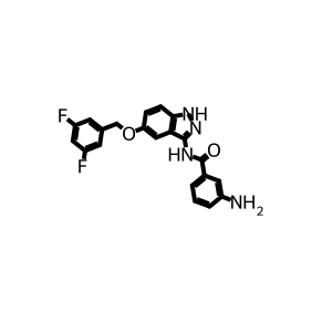 Nc1cccc(C(=O)Nc2n[nH]c3ccc(OCc4cc(F)cc(F)c4)cc23)c1